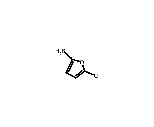 Bc1ccc(Cl)o1